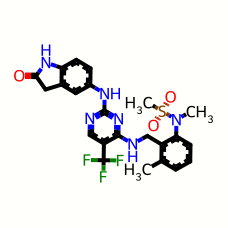 Cc1cccc(N(C)S(C)(=O)=O)c1CNc1nc(Nc2ccc3c(c2)CC(=O)N3)ncc1C(F)(F)F